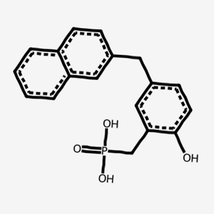 O=P(O)(O)Cc1cc(Cc2ccc3ccccc3c2)ccc1O